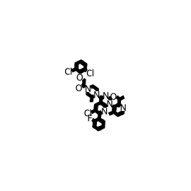 Cc1ccnc(C(C)C)c1-n1c(=O)nc(N2CCN(C(=O)COc3c(Cl)cccc3Cl)CC2C)c2cc(Cl)c(-c3ccccc3F)nc21